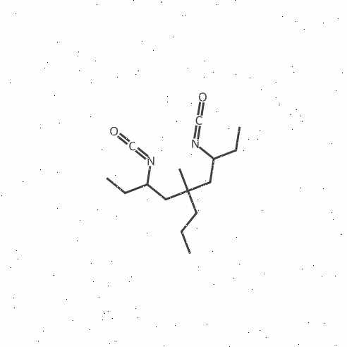 CCCC(C)(CC(CC)N=C=O)CC(CC)N=C=O